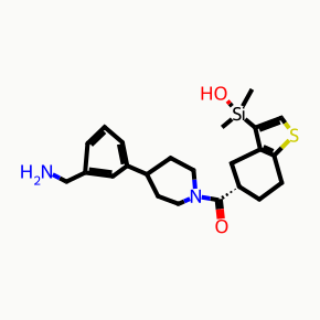 C[Si](C)(O)c1csc2c1C[C@@H](C(=O)N1CCC(c3cccc(CN)c3)CC1)CC2